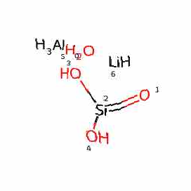 O.O=[Si](O)O.[AlH3].[LiH]